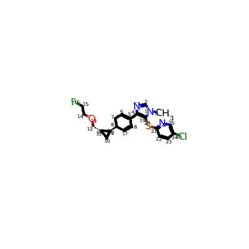 Cn1cnc(C2=CCC([C@H]3C[C@@H]3COCCF)C=C2)c1Sc1ccc(Cl)cn1